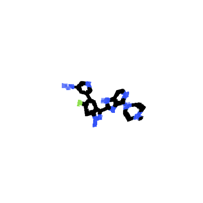 CN1CCN(c2nccc3[nH]c(-c4n[nH]c5cc(F)c(-c6cncc(N)c6)cc45)nc23)CC1